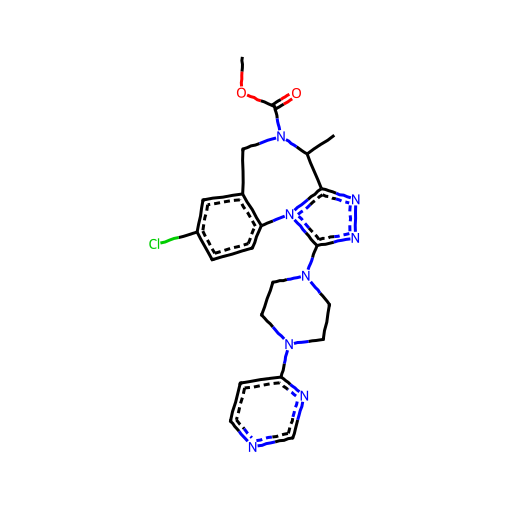 COC(=O)N1Cc2cc(Cl)ccc2-n2c(nnc2N2CCN(c3ccncn3)CC2)C1C